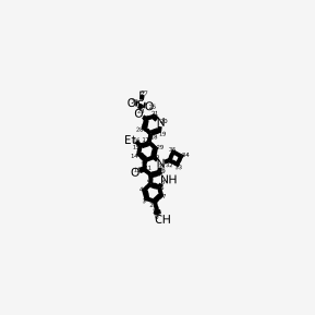 C#Cc1ccc2c(c1)[nH]c1c2c(=O)c2cc(CC)c(-c3cncc(OS(=O)(=O)F)c3)cc2n1C1CCC1